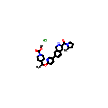 CC(C)OC(=O)N1CCC([C@H](C)Oc2ccc(-c3ccc4c(c3)CNC(C(=O)N3CCCC3C#N)C4)cn2)CC1.Cl